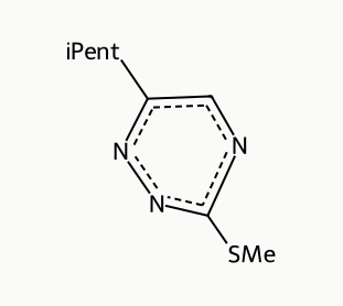 CCCC(C)c1cnc(SC)nn1